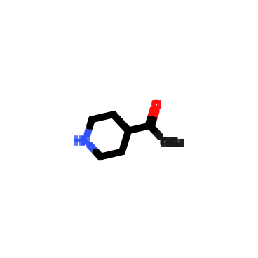 CC(C)COC(=O)C1CCNCC1